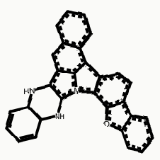 C1=CC2Nc3c(n4c5c(ccc6c7ccccc7oc65)c5c6ccccc6cc3c54)NC2C=C1